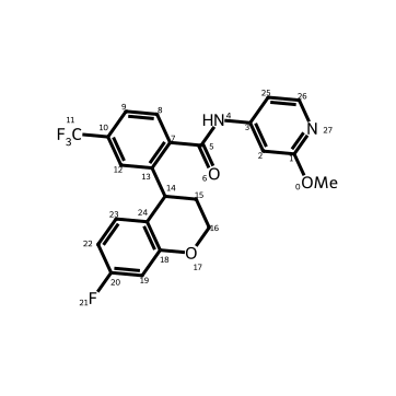 COc1cc(NC(=O)c2ccc(C(F)(F)F)cc2C2CCOc3cc(F)ccc32)ccn1